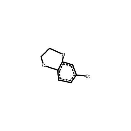 CCc1ccc2c(c1)OCCO2